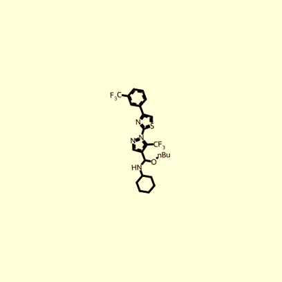 CCCCOC(NC1CCCCC1)c1cnn(-c2nc(-c3cccc(C(F)(F)F)c3)cs2)c1C(F)(F)F